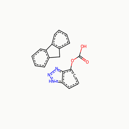 O=C(O)Oc1cccc2[nH]nnc12.c1ccc2c(c1)Cc1ccccc1-2